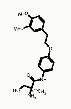 COc1ccc(CCOc2ccc(NC(=O)[C@@](C)(N)CO)cc2)cc1OC